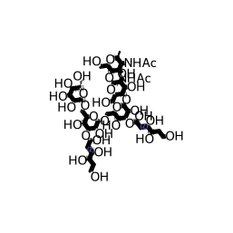 CC(=O)NC1C(O)[C@H](O[C@@H]2OC(CO[C@H]3OC(CO[C@H]4O[C@@H](CO)[C@@H](O)C(O)C4O)[C@@H](O)C(O[C@@H](O)/C=C(\O)[C@H](O)CCO)C3O)[C@@H](O)C(O[C@@H](O)/C=C(\O)[C@H](O)CCO)C2O)C(CO)O[C@H]1O[C@@H]1C(CO)O[C@@H](C)C(NC(C)=O)C1O